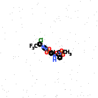 CN(c1ccccc1C(=O)Nc1ccc(S(=O)(=O)N2CCN(c3cc(Cl)cc(C(F)(F)F)c3)CC2)cc1)S(C)(=O)=O